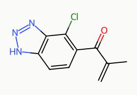 C=C(C)C(=O)c1ccc2[nH]nnc2c1Cl